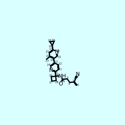 C=C(C#N)CCC(=O)NC1(c2ccc(-c3cnc(C4CC4)cc3C)cn2)CCC1